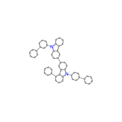 c1ccc(-c2ccc(-n3c4ccc(-c5ccc6c(c5)c5ccccc5n6-c5cccc(-c6ccccc6)c5)cc4c4c(-c5ccccc5)cccc43)cc2)cc1